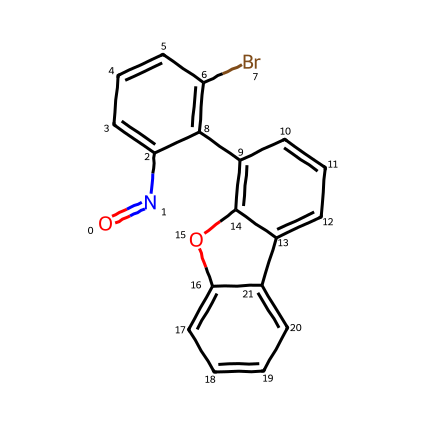 O=Nc1cccc(Br)c1-c1cccc2c1oc1ccccc12